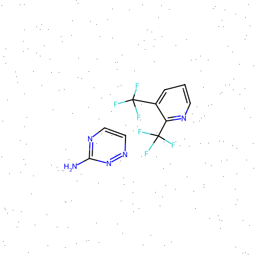 FC(F)(F)c1cccnc1C(F)(F)F.Nc1nccnn1